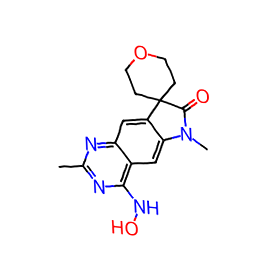 Cc1nc(NO)c2cc3c(cc2n1)C1(CCOCC1)C(=O)N3C